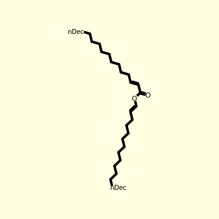 CCCCCCCCCCCCCCCCCCCC=CC(=O)OC=CCCCCCCCCCCCCCCCCCCCC